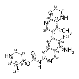 Cc1c(-c2cc3cc(NC(=O)O[C@@H]4CCNC[C@@H]4F)ncc3c(N)c2F)cnc2c1NCCO2